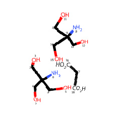 NC(CO)(CO)CO.NC(CO)(CO)CO.O=C(O)CC(=O)O